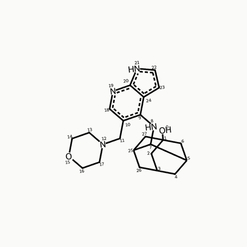 OC12CC3CC(C1)C(Nc1c(CN4CCOCC4)cnc4[nH]ccc14)C(C3)C2